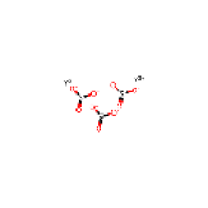 O=[Si]([O-])[O-].O=[Si]([O-])[O-].O=[Si]([O-])[O-].[Y+3].[Y+3]